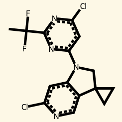 CC(F)(F)c1nc(Cl)cc(N2CC3(CC3)c3cnc(Cl)cc32)n1